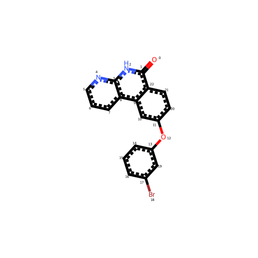 O=c1[nH]c2ncccc2c2cc(Oc3cccc(Br)c3)ccc12